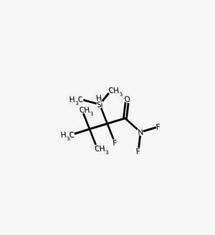 C[SiH](C)C(F)(C(=O)N(F)F)C(C)(C)C